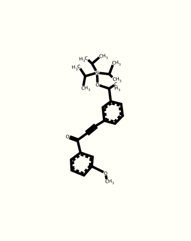 COc1cccc(C(=O)C#Cc2cccc(C(C)O[Si](C(C)C)(C(C)C)C(C)C)c2)c1